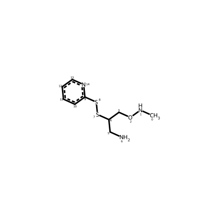 CNOCC(CN)SSc1ccccn1